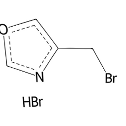 Br.BrCc1cocn1